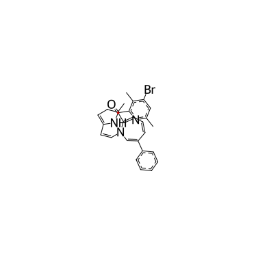 Cc1cc(Br)c(C)c(C(=O)NC2=C\CC(C)C3=CC=CC(c4ccccc4)=CN3/C=C\2)n1